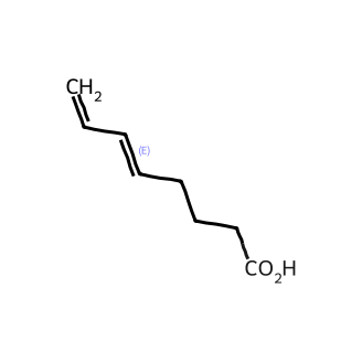 C=C/C=C/CCCC(=O)O